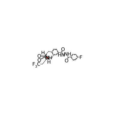 O=C(NNC(=O)c1ccc2c(c1)C[C@H]1CC[C@@H](C2)[C@]12CN(CC(F)(F)F)S(=O)(=O)N2)c1ccc(F)cc1